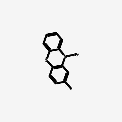 Cc1ccc2c(c1)N(C(C)C)c1ccccc1S2